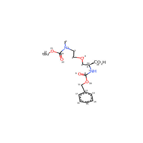 CN(CCOC[C@H](NC(=O)OCc1ccccc1)C(=O)O)C(=O)OC(C)(C)C